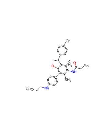 Cc1c(NC(=O)CC(C)(C)C)c(C)c2c(c1-c1ccc(NCCC=O)cc1)OCC2c1ccc(C(C)C)cc1